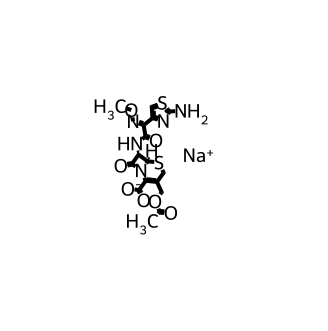 CON=C(C(=O)N[C@@H]1C(=O)N2C(C(=O)[O-])=C(COC(C)=O)CS[C@H]12)c1csc(N)n1.[Na+]